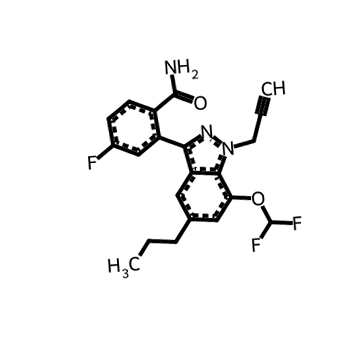 C#CCn1nc(-c2cc(F)ccc2C(N)=O)c2cc(CCC)cc(OC(F)F)c21